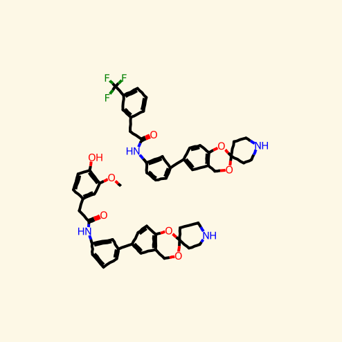 COc1cc(CC(=O)Nc2cccc(-c3ccc4c(c3)COC3(CCNCC3)O4)c2)ccc1O.O=C(Cc1cccc(C(F)(F)F)c1)Nc1cccc(-c2ccc3c(c2)COC2(CCNCC2)O3)c1